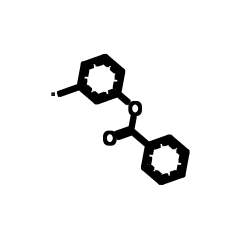 [CH2]c1cccc(OC(=O)c2ccccc2)c1